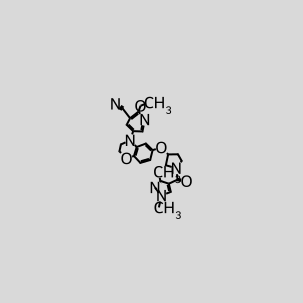 COc1ncc(N2CCOc3ccc(OC4CCN(C(=O)c5cn(C)nc5C)C4)cc32)cc1C#N